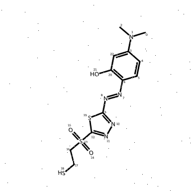 CN(C)c1ccc(/N=N/c2nnc(S(=O)(=O)CCS)s2)c(O)c1